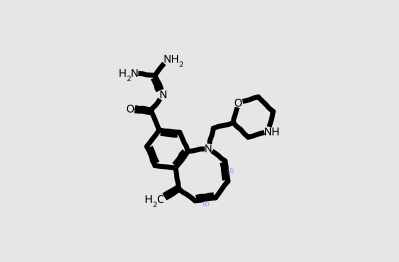 C=C1/C=C\C=C/N(CC2CNCCO2)c2cc(C(=O)N=C(N)N)ccc21